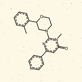 Cc1ccccc1C1CN(c2nc(-c3ccncc3)cc(=O)n2C)CCO1